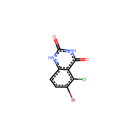 O=c1[nH]c(=O)c2c(Cl)c(Br)ccc2[nH]1